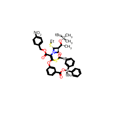 CCS[C@@H]1[C@@H]([C@@H](C)O[Si](C)(C)C(C)(C)C)C(=O)N1C(C(=O)OCc1ccc([N+](=O)[O-])cc1)=C(Oc1cccc(C(=O)O[Si](c2ccccc2)(c2ccccc2)C(C)(C)C)c1)SC(=O)C(C)(C)C